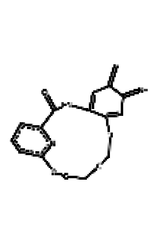 C=C1C=C2NC(=O)c3cccc(n3)OCCCCOC2=CC1=N